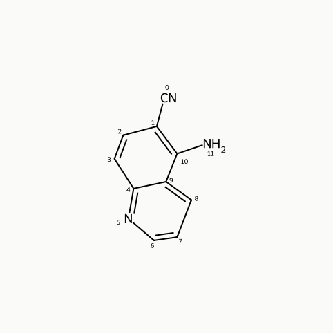 N#Cc1ccc2ncccc2c1N